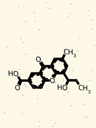 CCC(O)c1cc(C)cc2c(=O)c3cc(C(=O)O)ccc3oc12